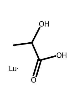 CC(O)C(=O)O.[Lu]